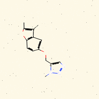 CCOC(=O)c1c(C)oc2ccc(OCc3cnnn3C)cc12